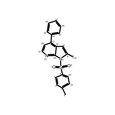 Cc1ccc(S(=O)(=O)n2c(I)cc3c(-c4ccccc4)ccnc32)cc1